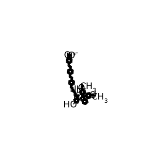 COc1ccc(C(OC[C@@H]2C[C@@H](O)CN2C(=O)CCCNCc2ccc(/C=C/c3ccc(/C=C/c4ccc([N+](=O)[O-])cc4)cc3)cc2)(c2ccccc2)c2ccc(OC)cc2)cc1